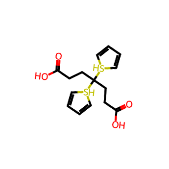 O=C(O)CCC(CCC(=O)O)([SH]1C=CC=C1)[SH]1C=CC=C1